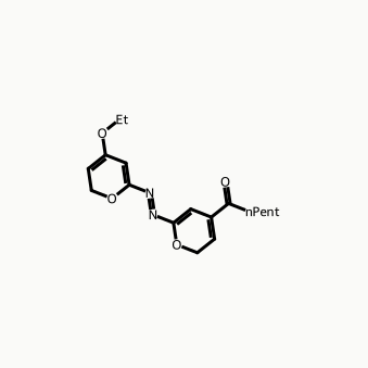 CCCCCC(=O)C1=CCOC(N=NC2=CC(OCC)=CCO2)=C1